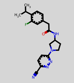 CC(C)c1ccc(CC(=O)NC2CCN(c3ccc(C#N)nn3)C2)cc1F